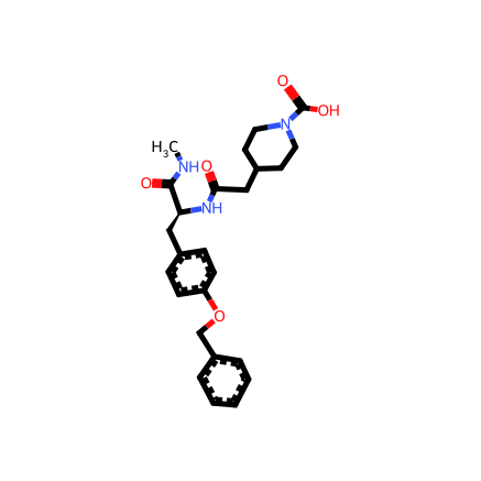 CNC(=O)[C@H](Cc1ccc(OCc2ccccc2)cc1)NC(=O)CC1CCN(C(=O)O)CC1